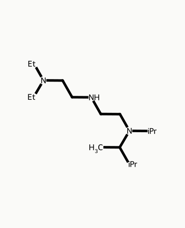 CCN(CC)CCNCCN(C(C)C)C(C)C(C)C